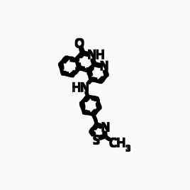 Cc1nc(-c2ccc(Nc3ccnc4[nH]c(=O)c5ccccc5c34)cc2)cs1